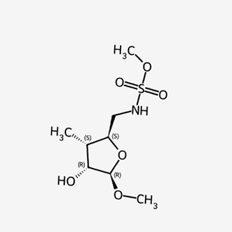 CO[C@@H]1O[C@H](CNS(=O)(=O)OC)[C@@H](C)[C@H]1O